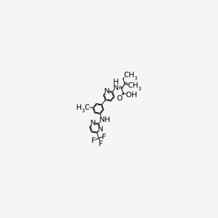 CC[C@@H](C)[C@@H](Nc1ccc(-c2cc(C)cc(Nc3nccc(C(F)(F)F)n3)c2)cn1)C(=O)O